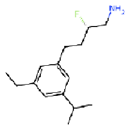 CCc1cc(CC[C@H](F)CN)cc(C(C)C)c1